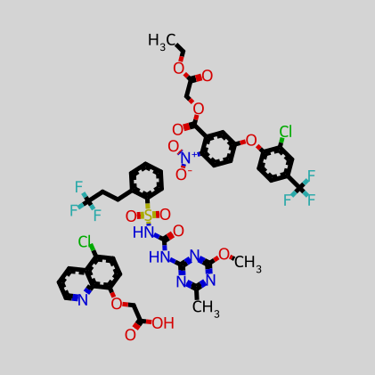 CCOC(=O)COC(=O)c1cc(Oc2ccc(C(F)(F)F)cc2Cl)ccc1[N+](=O)[O-].COc1nc(C)nc(NC(=O)NS(=O)(=O)c2ccccc2CCC(F)(F)F)n1.O=C(O)COc1ccc(Cl)c2cccnc12